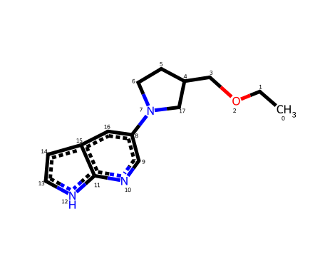 CCOCC1CCN(c2cnc3[nH]ccc3c2)C1